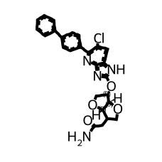 NC(=O)CC1CO[C@H]2[C@@H]1OC[C@H]2Oc1nc2nc(-c3ccc(-c4ccccc4)cc3)c(Cl)cc2[nH]1